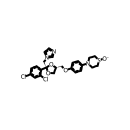 [O-][S+]1CCN(c2ccc(OC[C@@H]3CO[C@@](Cn4ccnc4)(c4ccc(Cl)cc4Cl)O3)cc2)CC1